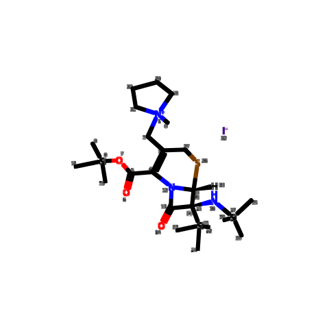 C[N+]1(CC2=C(C(=O)O[Si](C)(C)C)N3C(=O)[C@@](N[Si](C)(C)C)([Si](C)(C)C)[C@H]3SC2)CCCC1.[I-]